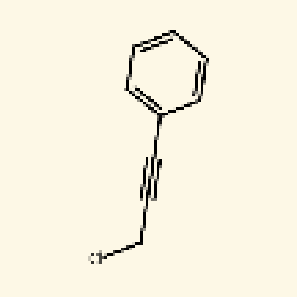 ClCC#Cc1ccccc1